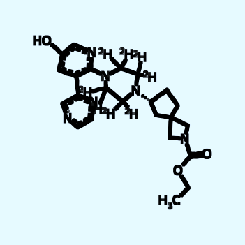 [2H]C1([2H])N(c2ncc(O)cc2-c2cnccn2)C([2H])([2H])C([2H])([2H])N([C@@H]2CCC3(C2)CN(C(=O)OCC)C3)C1([2H])[2H]